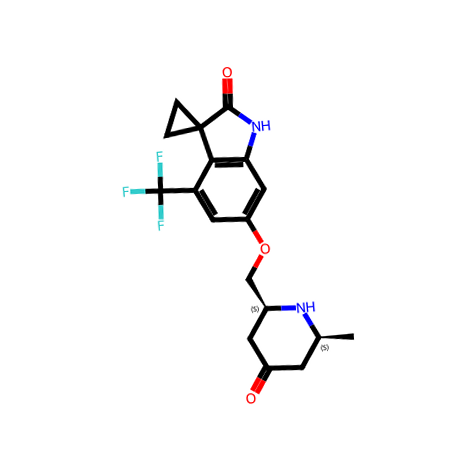 C[C@H]1CC(=O)C[C@@H](COc2cc3c(c(C(F)(F)F)c2)C2(CC2)C(=O)N3)N1